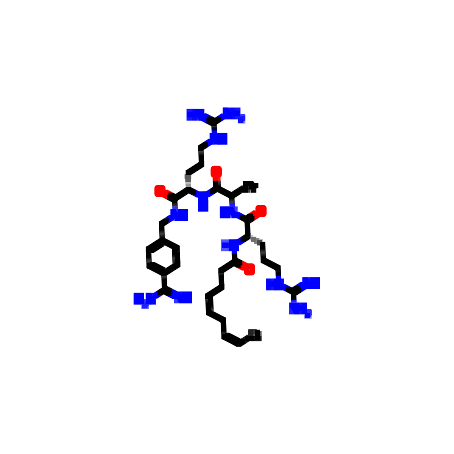 CC/C=C\C/C=C\CCC(=O)N[C@@H](CCCNC(=N)N)C(=O)NC(C(=O)N[C@@H](CCCNC(=N)N)C(=O)NCc1ccc(C(=N)N)cc1)C(C)C